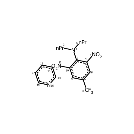 CCCN(CCC)c1c([N+](=O)[O-])cc(C(F)(F)F)cc1[N+](=O)[O-].c1ccncc1